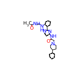 CC(=O)NCCNc1ccccc1-c1nccc(NC(=O)CN2CCC(c3ccccc3)CC2)n1